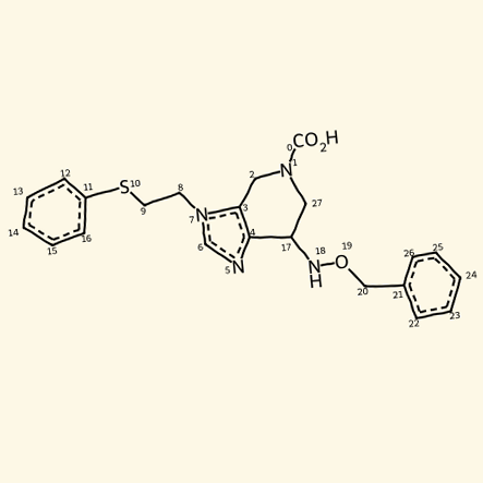 O=C(O)N1Cc2c(ncn2CCSc2ccccc2)C(NOCc2ccccc2)C1